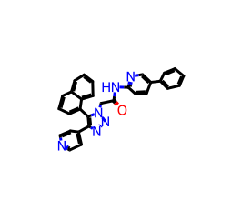 O=C(Cn1nnc(-c2ccncc2)c1-c1cccc2ccccc12)Nc1ccc(-c2ccccc2)cn1